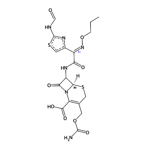 CCCO/N=C(/C(=O)NC1C(=O)N2C(C(=O)O)=C(COC(N)=O)CS[C@H]12)c1csc(NC=O)n1